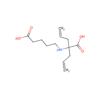 C=CCC(CC=C)(NCCCCC(=O)O)C(=O)O